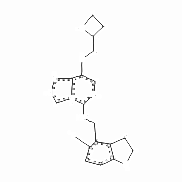 Fc1ccc2c(c1CNc1ncc(OCC3CCO3)c3nncn13)CCO2